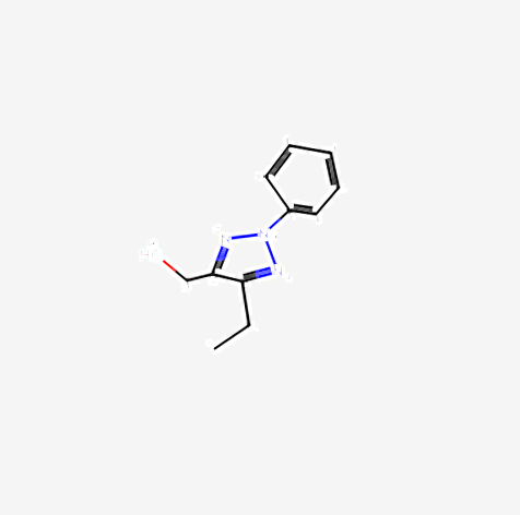 CCc1nn(-c2ccccc2)nc1CO